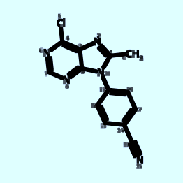 Cc1nc2c(Cl)ncnc2n1-c1ccc(C#N)cc1